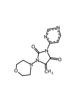 C=C1C(=O)N(c2ccncn2)C(=O)N1N1CCOCC1